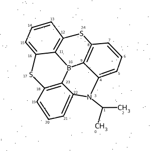 CC(C)N1c2cccc3c2B2c4c(cccc4Sc4cccc1c42)S3